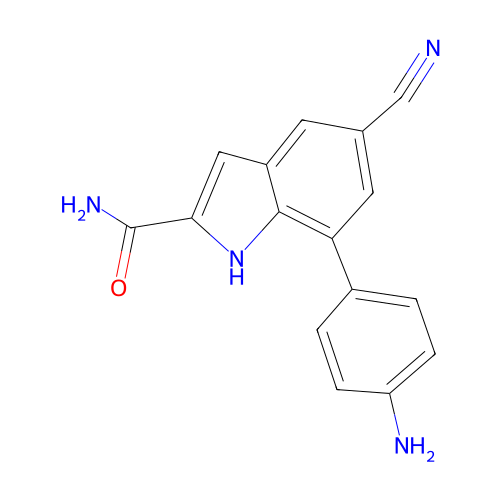 N#Cc1cc(-c2ccc(N)cc2)c2[nH]c(C(N)=O)cc2c1